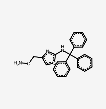 NOCc1csc(NC(c2ccccc2)(c2ccccc2)c2ccccc2)n1